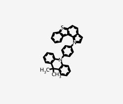 CC1(C)c2ccccc2N(c2ccc(-n3ccc4ccc5sc6ccccc6c5c43)cc2)c2ccccc21